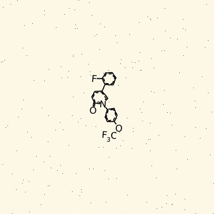 O=c1ccc(-c2ccccc2F)cn1-c1ccc(OC(F)(F)F)cc1